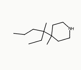 CCCC(C)(CC)C1(C)CCNCC1